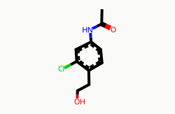 CC(=O)Nc1ccc(CCO)c(Cl)c1